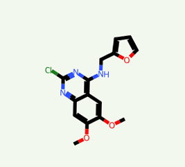 COc1cc2nc(Cl)nc(NCc3ccco3)c2cc1OC